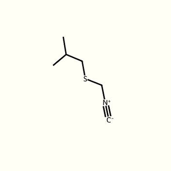 [C-]#[N+]CSCC(C)C